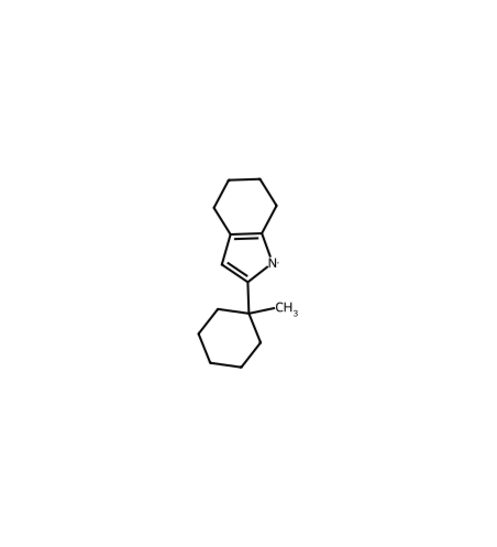 CC1(C2=CC3=C(CCCC3)[N]2)CCCCC1